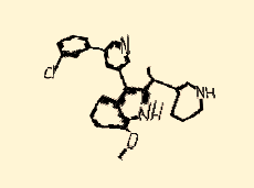 COc1cccc2c(-c3cncc(-c4cccc(Cl)c4)c3)c(C(C)C3CCCNC3)[nH]c12